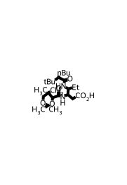 CCCCC(C(=O)NC(CC)C(CC(=O)O)NC(=O)C1OC(C)(C)OCC1(C)C)C(C)(C)C